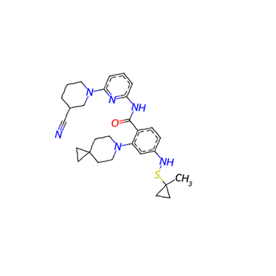 CC1(SNc2ccc(C(=O)Nc3cccc(N4CCCC(C#N)C4)n3)c(N3CCC4(CC3)CC4)c2)CC1